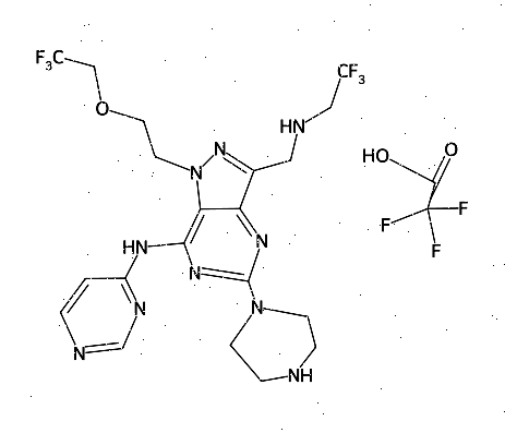 FC(F)(F)CNCc1nn(CCOCC(F)(F)F)c2c(Nc3ccncn3)nc(N3CCNCC3)nc12.O=C(O)C(F)(F)F